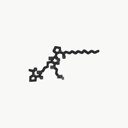 CCCCCCCCCCCC(=O)N1CCCC1C(=O)NC(CCCCNC(=O)C1CCCN1C(C)=O)C(=O)NCCN